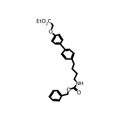 CCOC(=O)COc1ccc(-c2ccc(CCCCNC(=O)OCc3ccccc3)cc2)cc1